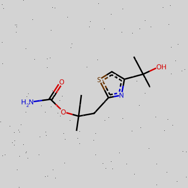 CC(C)(Cc1nc(C(C)(C)O)cs1)OC(N)=O